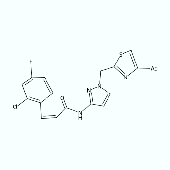 CC(=O)c1csc(Cn2ccc(NC(=O)/C=C\c3ccc(F)cc3Cl)n2)n1